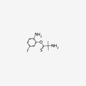 CC(C)(N)C(=S)Oc1cc(I)ccc1N